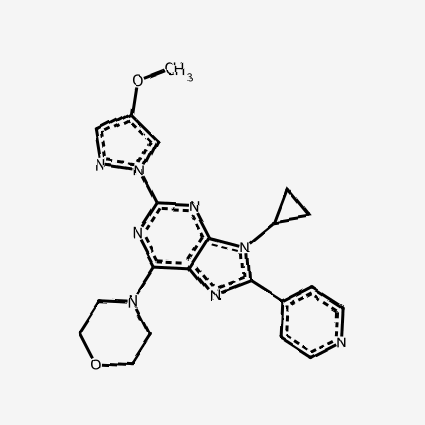 COc1cnn(-c2nc(N3CCOCC3)c3nc(-c4ccncc4)n(C4CC4)c3n2)c1